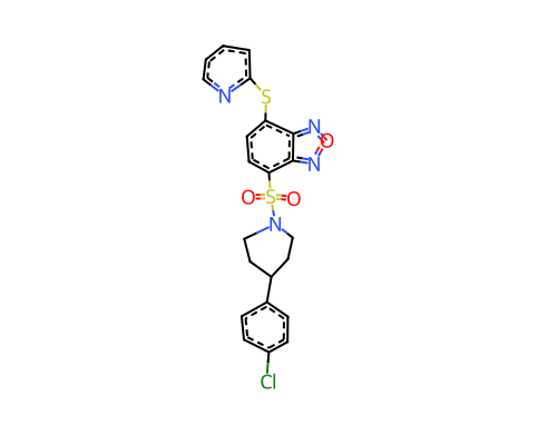 O=S(=O)(c1ccc(Sc2ccccn2)c2nonc12)N1CCC(c2ccc(Cl)cc2)CC1